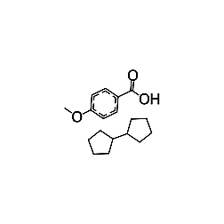 C1CCC(C2CCCC2)C1.COc1ccc(C(=O)O)cc1